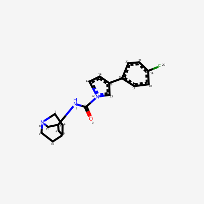 O=C(NC1CC2CCN(CC2)C1)n1ccc(-c2ccc(F)cc2)c1